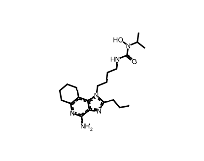 CCCc1nc2c(N)nc3c(c2n1CCCCNC(=O)N(O)C(C)C)CCCC3